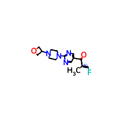 C/C(=C\F)C(=O)c1cnc(N2CCN(C3COC3)CC2)nc1